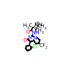 C[C@H](C(=O)Nc1nc(=O)c(-c2ccccc2Cl)c2cc(C(F)(F)F)ccn12)[Si](C)(C)C(C)(C)C